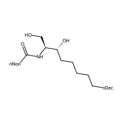 CCCCCCCCCCCCCCC[C@@H](O)[C@H](CO)NC(=O)CCCCCCCCC